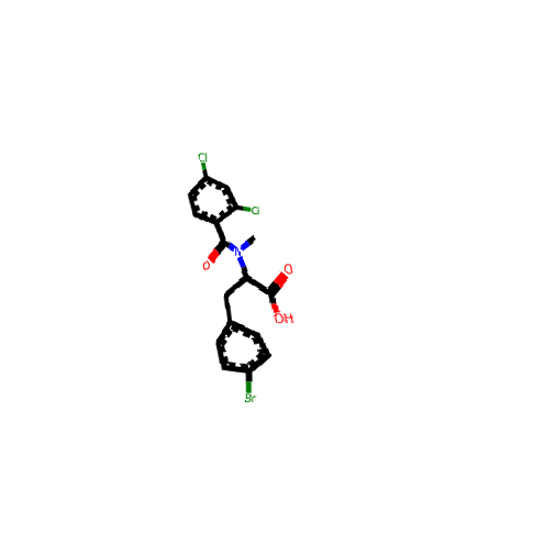 CN(C(=O)c1ccc(Cl)cc1Cl)C(Cc1ccc(Br)cc1)C(=O)O